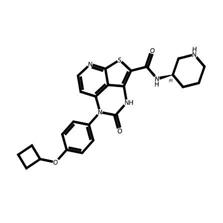 O=C(N[C@@H]1CCCNC1)c1sc2nccc3c2c1NC(=O)N3c1ccc(OC2CCC2)cc1